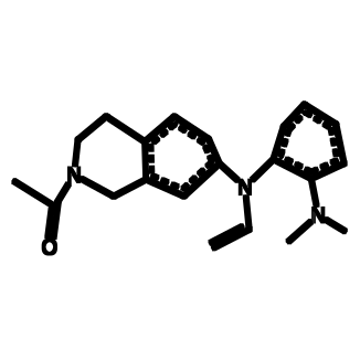 C=CN(c1ccc2c(c1)CN(C(C)=O)CC2)c1ccccc1N(C)C